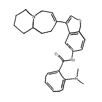 CN(C)c1ccccc1C(=O)Nc1ccc2scc(C3=CCN4CCCCC4CC3)c2c1